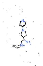 NC(CNC(=O)O)C1CCN(c2ccncc2)CC1